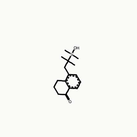 CC(C)(Cc1cccc2c1CCCC2=O)[Si](C)(C)O